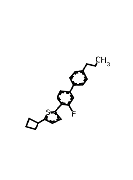 CCCc1ccc(-c2ccc(-c3ccc(C4CCC4)s3)c(F)c2)cc1